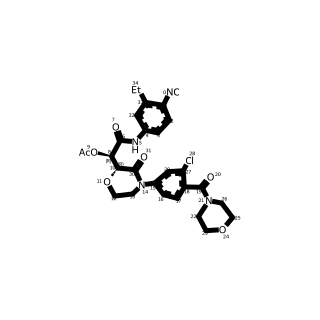 [C-]#[N+]c1ccc(NC(=O)[C@H](OC(C)=O)[C@H]2OCCN(c3ccc(C(=O)N4CCOCC4)c(Cl)c3)C2=O)cc1CC